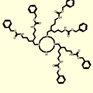 O=C(NCCCC(CCCNC(=O)OCc1ccccc1)CN1CCNCCN(CC(CCCNC(=O)OCc2ccccc2)CCCNC(=O)OCc2ccccc2)CCN(CC(CCCNC(=O)OCc2ccccc2)CCCNC(=O)OCc2ccccc2)CC1)OCc1ccccc1